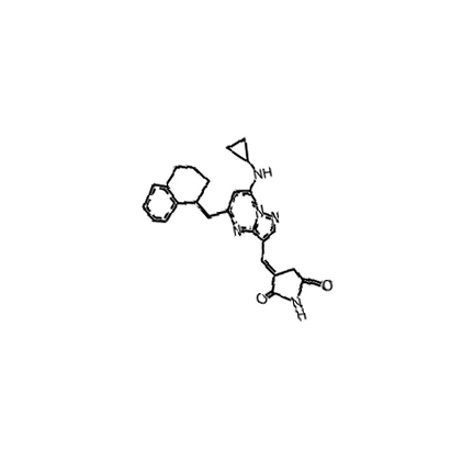 O=C1C/C(=C\c2cnn3c(NC4CC4)cc(CC4CCCc5ccccc54)nc23)C(=O)N1